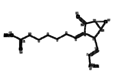 CCCCCCC=CC1C(=CCCCCCC(=O)OC)C(=O)C2OC12